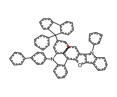 c1ccc(-c2ccc(N(c3cccc(C4(c5ccccc5)c5ccccc5-c5ccccc54)c3)c3ccccc3-c3cccc4c3oc3c5ccccc5n(-c5ccccc5)c43)cc2)cc1